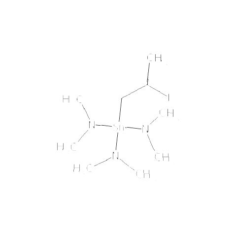 CC(I)[CH2][Sn]([N](C)C)([N](C)C)[N](C)C